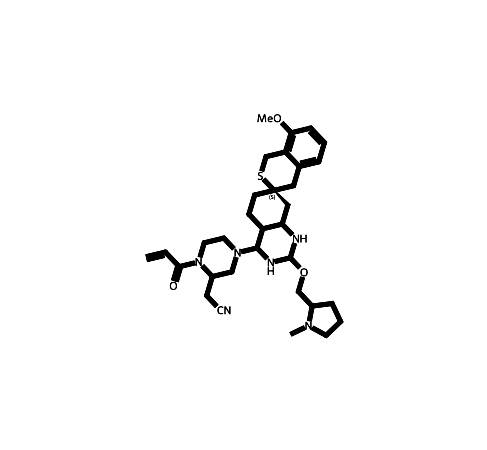 C=CC(=O)N1CCN(C2NC(OCC3CCCN3C)NC3C[C@]4(CCC32)Cc2cccc(OC)c2CS4)CC1CC#N